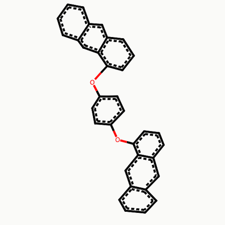 c1ccc2cc3c(Oc4ccc(Oc5cccc6cc7ccccc7cc56)cc4)cccc3cc2c1